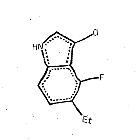 CCc1ccc2[nH]cc(Cl)c2c1F